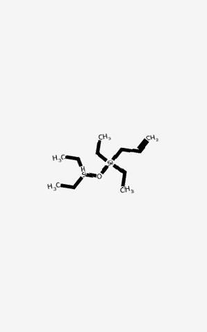 C=CC[Si](CC)(CC)O[SiH](CC)CC